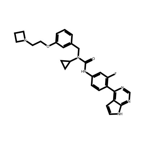 O=C(Nc1ccc(-c2ncnc3[nH]ccc23)c(F)c1)N(Cc1cccc(OCCN2CCC2)c1)C1CC1